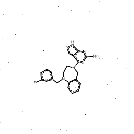 Nc1nc(N2CCN(Cc3cccc(F)c3)c3ccccc3C2)c2cn[nH]c2n1